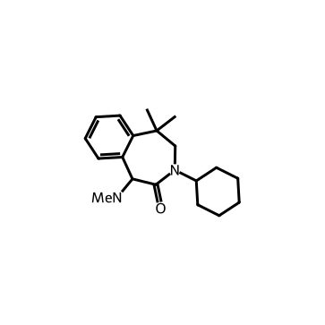 CNC1C(=O)N(C2CCCCC2)CC(C)(C)c2ccccc21